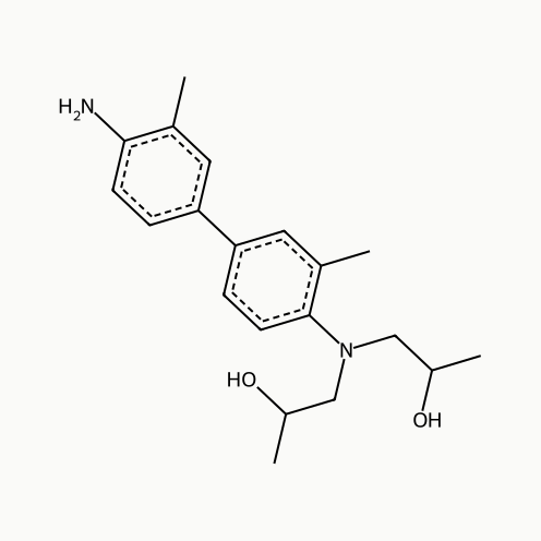 Cc1cc(-c2ccc(N(CC(C)O)CC(C)O)c(C)c2)ccc1N